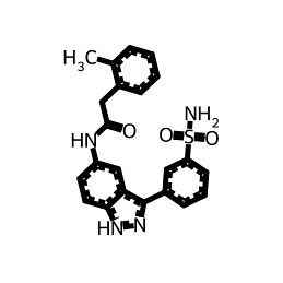 Cc1ccccc1CC(=O)Nc1ccc2[nH]nc(-c3cccc(S(N)(=O)=O)c3)c2c1